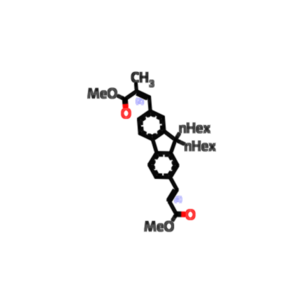 CCCCCCC1(CCCCCC)c2cc(/C=C(/C)C(=O)OC)ccc2-c2ccc(/C=C/C(=O)OC)cc21